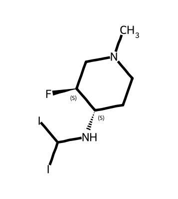 CN1CC[C@H](NC(I)I)[C@@H](F)C1